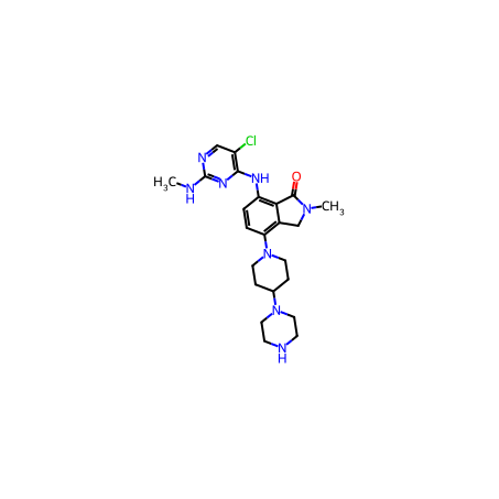 CNc1ncc(Cl)c(Nc2ccc(N3CCC(N4CCNCC4)CC3)c3c2C(=O)N(C)C3)n1